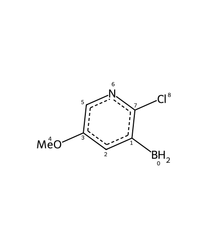 Bc1cc(OC)cnc1Cl